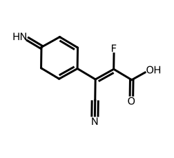 N#CC(C1=CCC(=N)C=C1)=C(F)C(=O)O